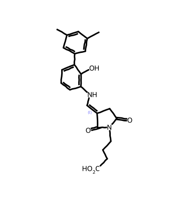 Cc1cc(C)cc(-c2cccc(N/C=C3\CC(=O)N(CCCC(=O)O)C3=O)c2O)c1